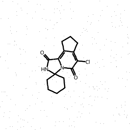 O=C1NC2(CCCCC2)n2c1c1c(c(Cl)c2=O)CCC1